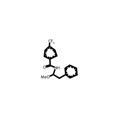 COC(Cc1ccccc1)NC(=O)c1ccc(C(F)(F)F)cc1